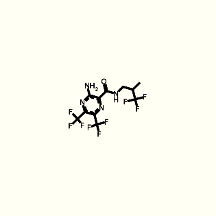 CC(CNC(=O)c1nc(C(F)(F)F)c(C(F)(F)F)nc1N)C(F)(F)F